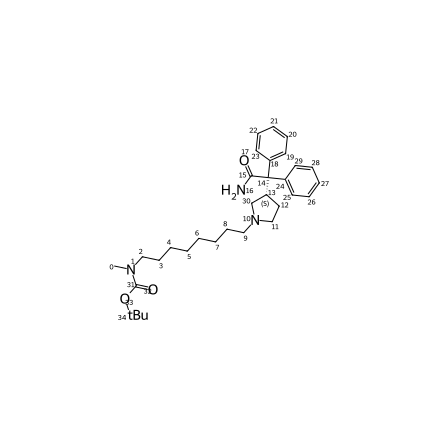 CN(CCCCCCCCN1CC[C@@H](C(C(N)=O)(c2ccccc2)c2ccccc2)C1)C(=O)OC(C)(C)C